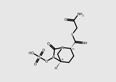 N=C(SCC(N)=O)[C@@H]1CC[C@@H]2CN1C(=O)N2OS(=O)(=O)O